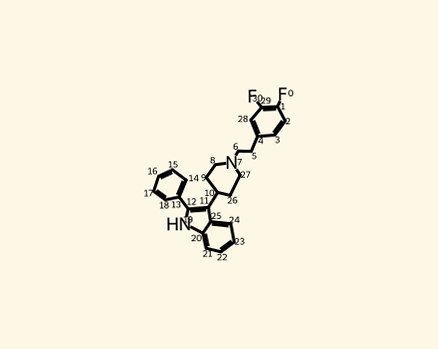 Fc1ccc(CCN2CCC(c3c(-c4ccccc4)[nH]c4ccccc34)CC2)cc1F